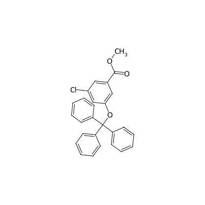 COC(=O)c1cc(Cl)cc(OC(c2ccccc2)(c2ccccc2)c2ccccc2)c1